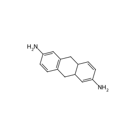 NC1=CC2Cc3ccc(N)cc3CC2C=C1